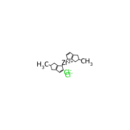 CC1CC2=C(C1)[CH]([Zr+2][CH]1C=CC3=C1CC(C)C3)C=C2.[Cl-].[Cl-]